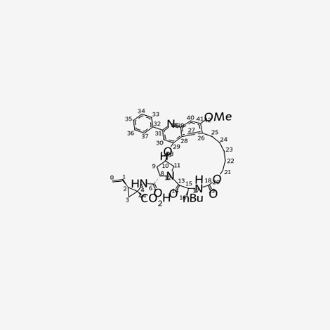 C=C[C@@H]1C[C@]1(NC(=O)[C@@H]1C[C@@H]2CN1C(=O)[C@H](CCCC)NC(=O)OCCCCCc1cc3c(cc(-c4ccccc4)nc3cc1OC)O2)C(=O)O